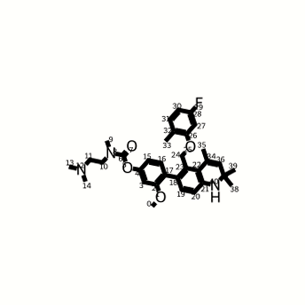 COc1cc(OC(=O)N(C)CCN(C)C)ccc1-c1ccc2c(c1COc1cc(F)ccc1C)C(C)=CC(C)(C)N2